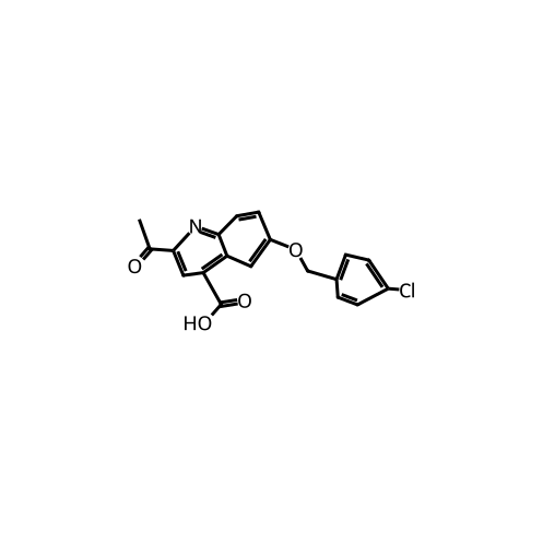 CC(=O)c1cc(C(=O)O)c2cc(OCc3ccc(Cl)cc3)ccc2n1